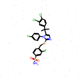 CC(C)(c1ccc(Cl)c(Cl)c1)c1cnc(SCc2ccc(S(N)(=O)=O)cc2F)n1-c1ccc(F)cc1